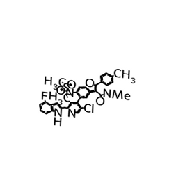 CNC(=O)c1c(-c2ccc(C)cc2)oc2cc(N(C)S(C)(=O)=O)c(-c3cc(-c4cc5c(F)cccc5[nH]4)ncc3Cl)cc12